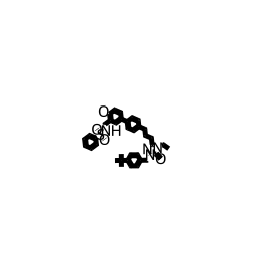 CCn1c(CCCc2ccc(-c3ccc(OC)c(CNS(=O)(=O)c4ccccc4)c3)cc2)nn(Cc2ccc(C(C)(C)C)cc2)c1=O